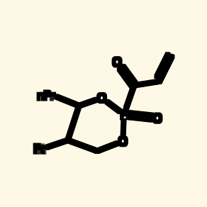 C=CC(=O)P1(=O)OCC(CC)C(CCC)O1